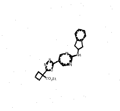 CCOC(=O)C1(c2nnc(-c3cnc(NC4Cc5ccccc5C4)nc3)o2)CCC1